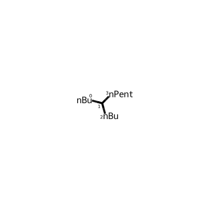 CC[CH]CC(CCCC)CCCCC